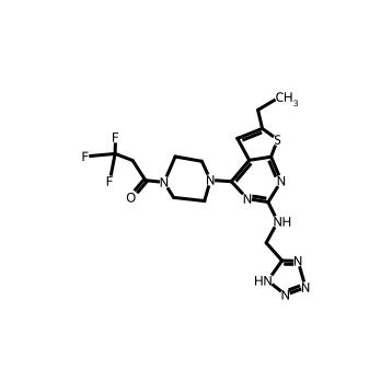 CCc1cc2c(N3CCN(C(=O)CC(F)(F)F)CC3)nc(NCc3nnn[nH]3)nc2s1